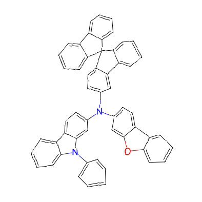 c1ccc(-n2c3ccccc3c3ccc(N(c4ccc5c(c4)-c4ccccc4C54c5ccccc5-c5ccccc54)c4ccc5c(c4)oc4ccccc45)cc32)cc1